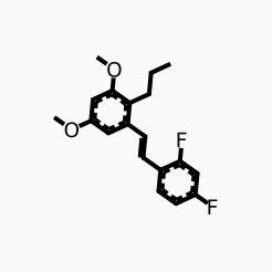 CCCc1c(C=Cc2ccc(F)cc2F)cc(OC)cc1OC